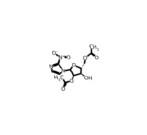 CC(=O)OC[C@H]1OC(n2ccnc2[N+](=O)[O-])[C@H](OC(C)=O)[C@@H]1O